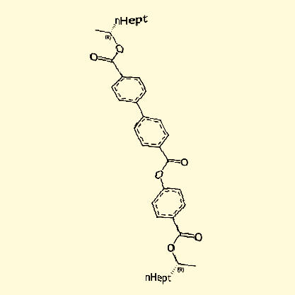 CCCCCCC[C@@H](C)OC(=O)c1ccc(OC(=O)c2ccc(-c3ccc(C(=O)O[C@H](C)CCCCCCC)cc3)cc2)cc1